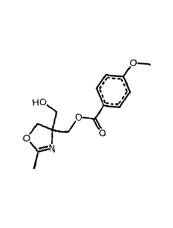 COc1ccc(C(=O)OCC2(CO)COC(C)=N2)cc1